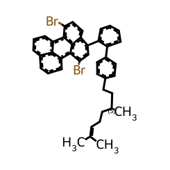 CC(C)=CCC[C@H](C)CCc1ccc(-c2ccccc2-c2cc(Br)c3c4cccc5cccc(c6c(Br)ccc2c63)c54)cc1